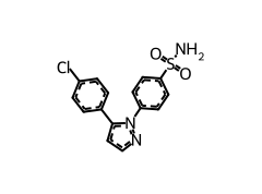 NS(=O)(=O)c1ccc(-n2nccc2-c2ccc(Cl)cc2)cc1